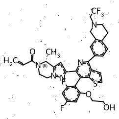 C=CC(=O)N1CCn2nc(-c3nc(-c4ccc5c(c4)CN(CC(F)(F)F)CC5)c4ccsc4c3-c3c(F)cc(F)cc3OCCO)cc2[C@H]1C